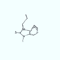 CCCN1B(Br)N(I)c2ccccc21